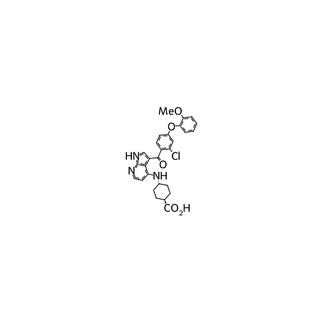 COc1ccccc1Oc1ccc(C(=O)c2c[nH]c3nccc(N[C@H]4CC[C@H](C(=O)O)CC4)c23)c(Cl)c1